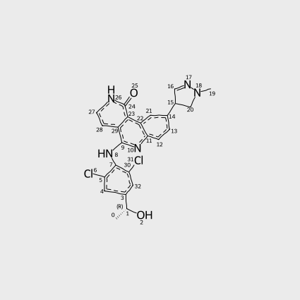 C[C@@H](O)c1cc(Cl)c(Nc2nc3ccc(C4C=NN(C)C4)cc3c3c(=O)[nH]ccc23)c(Cl)c1